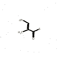 CCC/C=C(\C)C(=O)[S]